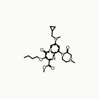 CCCCOc1c(C(=O)OC)nc2c(N3CCN(C)CC3=O)cc(N(C)CC3CC3)cn2c1=O